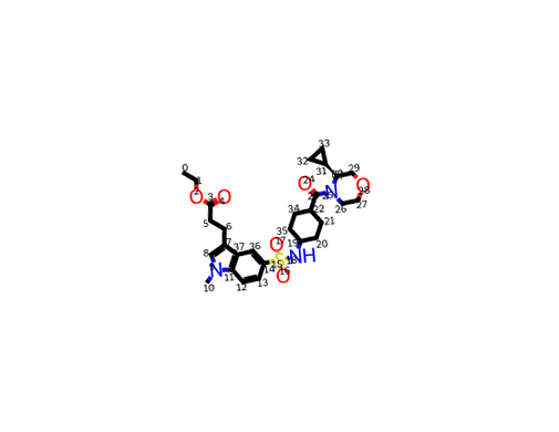 CCOC(=O)CCc1cn(C)c2ccc(S(=O)(=O)NC3CCC(C(=O)N4CCOC[C@@H]4C4CC4)CC3)cc12